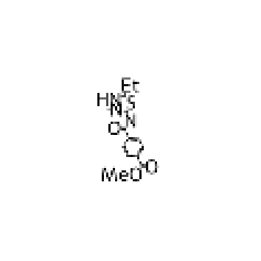 CCC1N[N]C(=NC(=O)c2ccc(C(=O)OC)cc2)S1